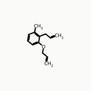 C=CCOc1cccc(C)c1CC=C